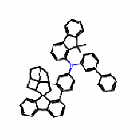 Cc1cc(N(c2cccc(-c3ccccc3)c2)c2cccc3c2C(C)(C)c2ccccc2-3)ccc1-c1cccc2c1C1(c3ccccc3-2)C2CC3CC4CC1C4(C3)C2